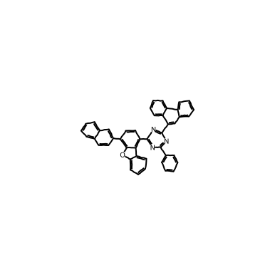 c1ccc(-c2nc(-c3cc4ccccc4c4ccccc34)nc(-c3ccc(-c4ccc5ccccc5c4)c4oc5ccccc5c34)n2)cc1